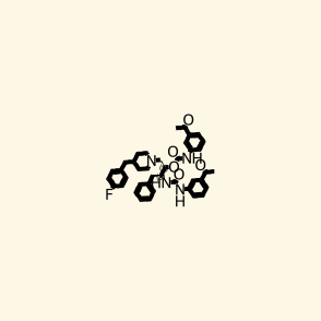 CC(=O)c1cccc(NC(=O)N[C@@H](Cc2ccccc2)[C@H](CN2CCC(Cc3ccc(F)cc3)CC2)OC(=O)Nc2cccc(C(C)=O)c2)c1